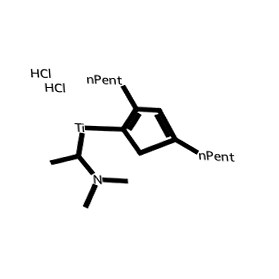 CCCCCC1=CC(CCCCC)=[C]([Ti][CH](C)N(C)C)C1.Cl.Cl